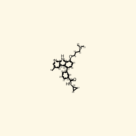 Cc1cnc2[nH]c3c(OCCCN(C)C)ccc(-c4cccc(C(=O)NC5CC5)c4)c3c2c1